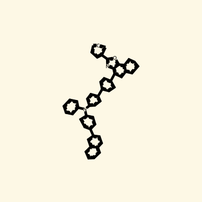 c1ccc(-c2nc3c(-c4ccc(-c5ccc(N(c6ccccc6)c6ccc(-c7ccc8ccccc8c7)cc6)cc5)cc4)cc4ccccc4c3o2)cc1